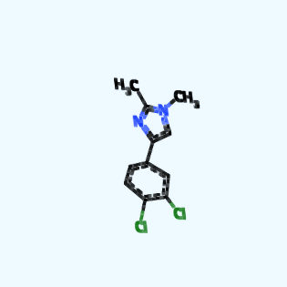 Cc1nc(-c2ccc(Cl)c(Cl)c2)cn1C